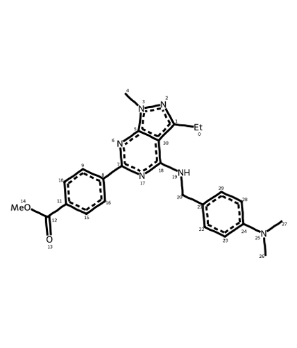 CCc1nn(C)c2nc(-c3ccc(C(=O)OC)cc3)nc(NCc3ccc(N(C)C)cc3)c12